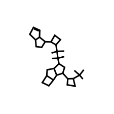 CC(C)(C)C1CCC1C1CC(C(C)(C)C(C)(C)C2CCC2C2CCC3CC=CC32)C2CC3CCC3C12